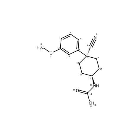 COc1cccc([C@]2(C#N)CC[C@H](NC(C)=O)CC2)c1